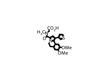 COc1cc2c(cc1OC)-c1c(-c3ccsc3)cc(C(=O)N(C)CC(=O)O)n1CC2